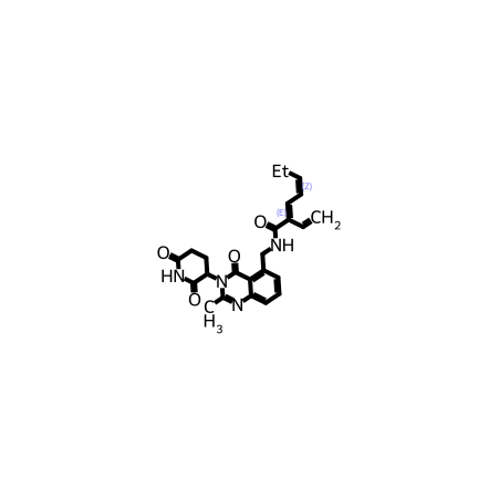 C=C/C(=C\C=C/CC)C(=O)NCc1cccc2nc(C)n(C3CCC(=O)NC3=O)c(=O)c12